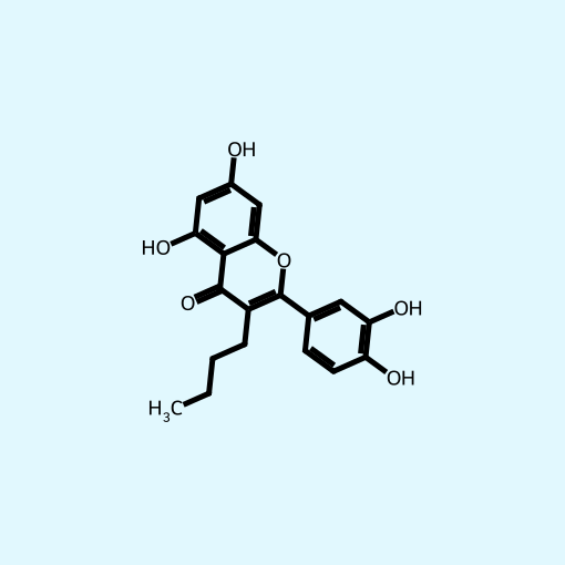 CCCCc1c(-c2ccc(O)c(O)c2)oc2cc(O)cc(O)c2c1=O